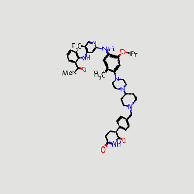 CNC(=O)c1ccccc1Nc1cc(Nc2cc(C)c(N3CCN(C4CCN(Cc5ccc(C6CCC(=O)NC6=O)cc5)CC4)CC3)cc2OC(C)C)ncc1C(F)(F)F